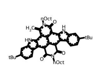 C=c1c2c3[nH]c4cc(C(C)(C)C)ccc4c3c3c4c(c5c6ccc(C(C)(C)C)cc6[nH]c5c(c(=O)n1CCCCCCCC)c42)C(=O)N(CCCCCCCC)C3=O